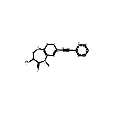 CN1C(=O)C(N)COC2=C1C=C(C#Cc1ccccn1)CC2